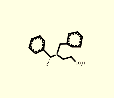 C[C@H](c1ccccc1)N(CCC(=O)O)Cc1ccccc1